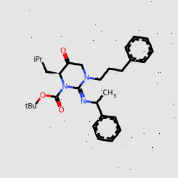 CC(C)C[C@H]1C(=O)CN(CCCc2ccccc2)C(=NC(C)c2ccccc2)N1C(=O)OC(C)(C)C